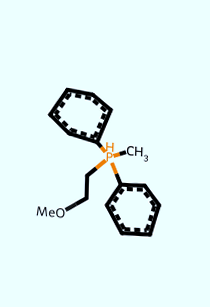 COCC[PH](C)(c1ccccc1)c1ccccc1